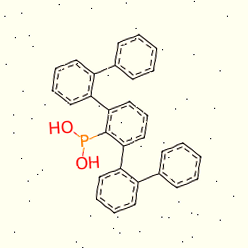 OP(O)c1c(-c2ccccc2-c2ccccc2)cccc1-c1ccccc1-c1ccccc1